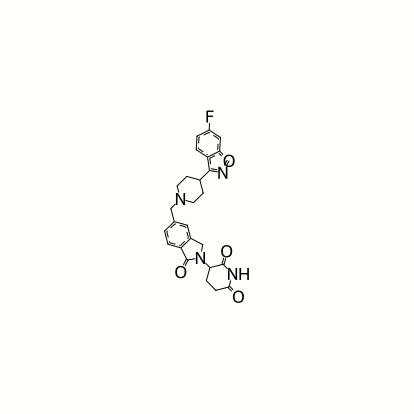 O=C1CCC(N2Cc3cc(CN4CCC(c5noc6cc(F)ccc56)CC4)ccc3C2=O)C(=O)N1